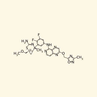 COC[C@]12CC1[C@@](C)(c1cc(Nc3nccc4nc(OCc5nc(C)no5)cnc34)cc(F)c1F)N=C(N)S2